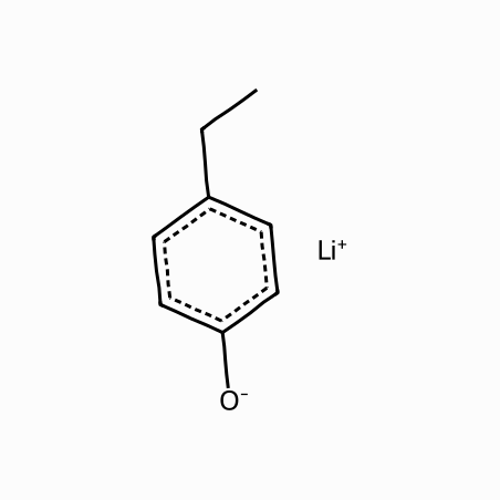 CCc1ccc([O-])cc1.[Li+]